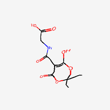 CC1(C)OC(=O)C(C(=O)NCC(=O)O)=C(O)O1